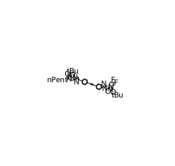 CCCCCN(Cc1nc(-c2ccc(C#Cc3ccc4[nH]c([C@@H]5CC(F)(F)CN5C(=O)OC(C)(C)C)nc4c3)cc2)c[nH]1)C(=O)OC(C)(C)C